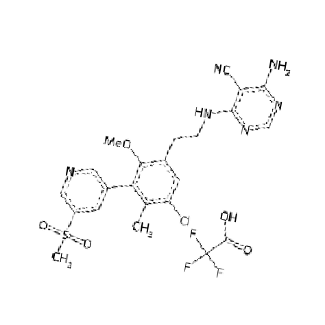 COc1c(CCNc2ncnc(N)c2C#N)cc(Cl)c(C)c1-c1cncc(S(C)(=O)=O)c1.O=C(O)C(F)(F)F